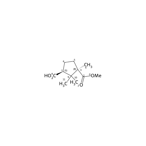 COC(=O)[C@]1(C)CC[C@H](C(=O)O)C1(C)C